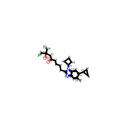 O=C(CCCCc1nc2cc(F)c(C3CC3)cc2n1C1CCC1)CC(O)(CF)CF